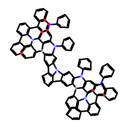 c1ccc(-c2cccc(-c3ccccc3)c2N2c3ccccc3B3c4cc5c6cccc7c8cc9c(cc8n(c5cc4N(c4ccccc4)c4cc(N(c5ccccc5)c5ccccc5)cc2c43)c67)N(c2ccccc2)c2cc(N(c3ccccc3)c3ccccc3)cc3c2B9c2ccccc2N3c2c(-c3ccccc3)cccc2-c2ccccc2)cc1